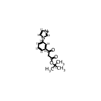 CC(C)(C)OC(=O)CC(=O)c1cccc(-n2ccnc2)c1